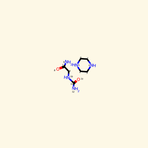 C1CNCCN1.NC(=O)CNC(N)=O